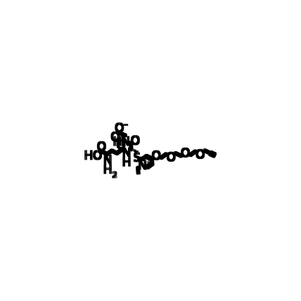 C#CCOCCOCCOCCOc1cc[n+](CC)c(SC[C@H](NC(=O)CC[C@H](N)C(=O)O)C(=O)NCC(=O)[O-])c1